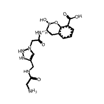 NCC(=O)NCC1=CN(CC(=O)N[C@H]2Cc3cccc(C(=O)O)c3OB2O)NN1